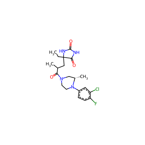 CCC1(CC(C)C(=O)N2CCN(c3ccc(F)c(Cl)c3)[C@@H](C)C2)NC(=O)NC1=O